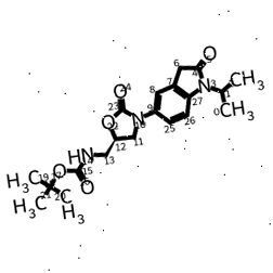 CC(C)N1C(=O)Cc2cc(N3C[C@@H](CNC(=O)OC(C)(C)C)OC3=O)ccc21